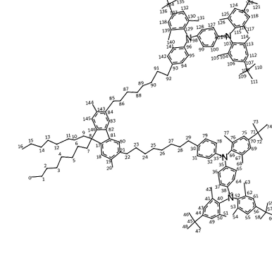 CCCCCCCCC1(CCCCCCCC)c2cc(C)c(CCCCCCCCc3ccc(N(c4ccc(N(c5c(C)cc(C(C)(C)C)cc5C)c5c(C)cc(C(C)(C)C)cc5C)cc4)c4c(C)cc(C(C)(C)C)cc4C)cc3)cc2-c2cc(CCCCCCCCc3ccc(N(c4ccc(N(c5c(C)cc(C(C)(C)C)cc5C)c5c(C)cc(C(C)(C)C)cc5C)cc4)c4c(C)cc(C(C)(C)C)cc4C)cc3)c(C)cc21